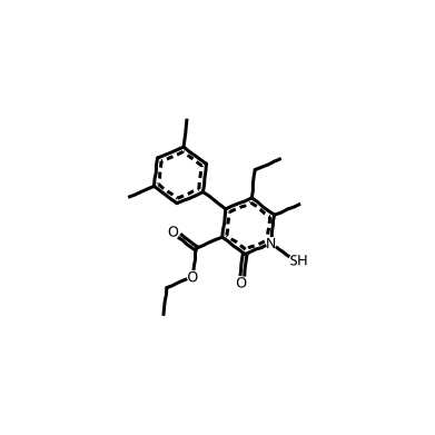 CCOC(=O)c1c(-c2cc(C)cc(C)c2)c(CC)c(C)n(S)c1=O